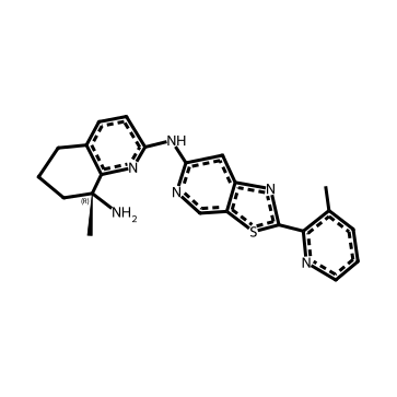 Cc1cccnc1-c1nc2cc(Nc3ccc4c(n3)[C@](C)(N)CCC4)ncc2s1